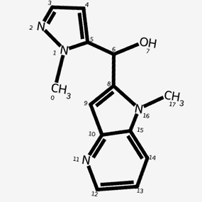 Cn1nccc1C(O)c1cc2ncccc2n1C